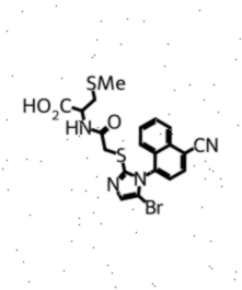 CSCC(NC(=O)CSc1ncc(Br)n1-c1ccc(C#N)c2ccccc12)C(=O)O